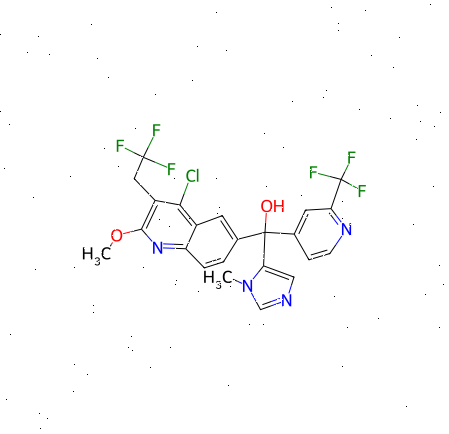 COc1nc2ccc(C(O)(c3ccnc(C(F)(F)F)c3)c3cncn3C)cc2c(Cl)c1CC(F)(F)F